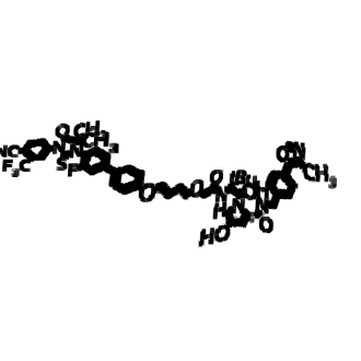 Cc1ncoc1-c1ccc(CNC(=O)[C@@H]2C[C@@H](O)CN2C(=O)C(NC(=O)COCCCCOc2ccc(-c3ccc(N4C(=S)N(c5ccc(C#N)c(C(F)(F)F)c5)C(=O)C4(C)C)c(F)c3)cc2)C(C)(C)C)cc1